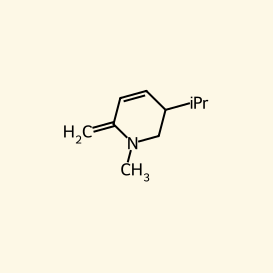 C=C1C=CC(C(C)C)CN1C